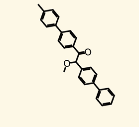 COC(C(=O)c1ccc(-c2ccc(C)cc2)cc1)c1ccc(-c2ccccc2)cc1